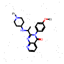 CCOc1ccc(-n2c(C(C)NC3CCN(C(C)C)CC3)nc3ncccc3c2=O)cc1